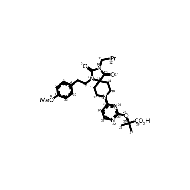 COc1ccc(CCN2C(=O)N(CC(C)C)C(=O)C23CCN(c2ccnc(OC(C)(C)C(=O)O)n2)CC3)cc1